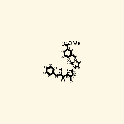 COC(=O)C1C=C(CN2CCN(c3nc(C)c(C(=O)NCc4ccccc4)s3)C2=O)C=CC1